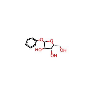 OC[C@H]1O[C@@H](Oc2ccccc2)[C@H](O)[C@@H]1O